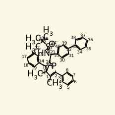 CC1=C(c2ccccc2)[P@]2C[C@@]1(C)C(c1ccccc1)[C@@H]2[C@H](N[S@+]([O-])C(C)(C)C)c1ccc(-c2ccccc2)cc1